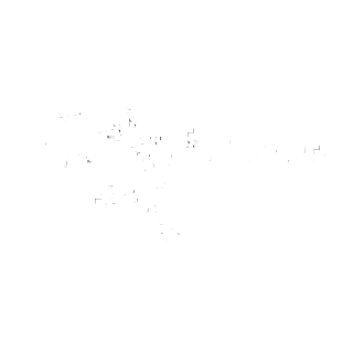 CCOCCCNC1=NC(Nc2ccccc2)=CC2(C)C(C)C1C2C#N